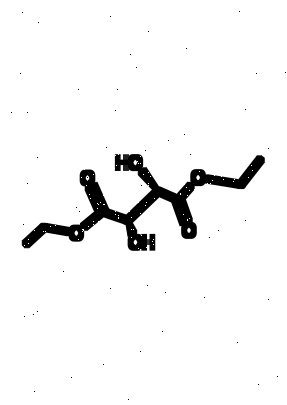 CCOC(=O)[C@H](O)[C@@H](O)C(=O)OCC